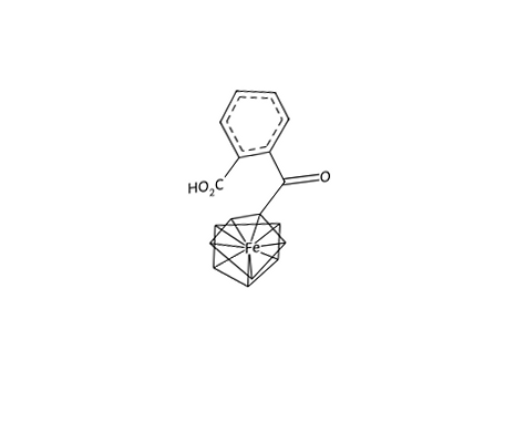 O=C(O)c1ccccc1C(=O)[C]12[CH]3[CH]4[CH]5[CH]1[Fe]45321678[CH]2[CH]1[CH]6[CH]7[CH]28